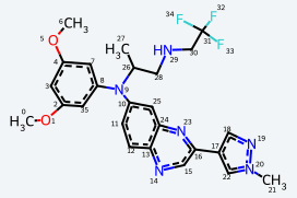 COc1cc(OC)cc(N(c2ccc3ncc(-c4cnn(C)c4)nc3c2)C(C)CNCC(F)(F)F)c1